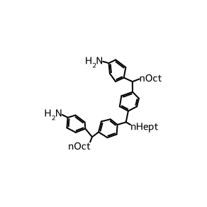 CCCCCCCCC(c1ccc(N)cc1)c1ccc(C(CCCCCCC)c2ccc(C(CCCCCCCC)c3ccc(N)cc3)cc2)cc1